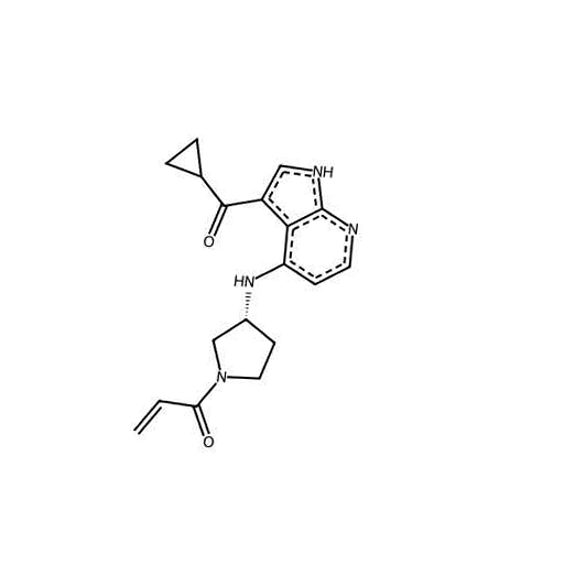 C=CC(=O)N1CC[C@@H](Nc2ccnc3[nH]cc(C(=O)C4CC4)c23)C1